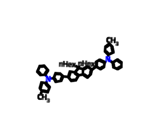 CCCCCCC1(CCCCCC)c2cc(-c3ccc(N(c4ccccc4)c4ccc(C)cc4)cc3)ccc2-c2ccc(-c3ccc(N(c4ccccc4)c4ccc(C)cc4)cc3)cc21